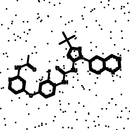 CC(=O)Nc1cc(Oc2ccc(NC(=O)Nc3cc(C(C)(C)C)nn3-c3ccc4ncncc4c3)c(F)c2)ccn1